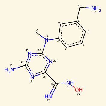 CN(c1cccc(CN)c1)c1nc(N)nc(C(=N)NO)n1